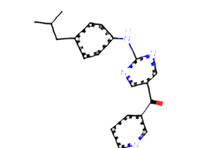 CC(C)Cc1ccc(Nc2ncc(C(=O)c3cccnc3)cn2)cc1